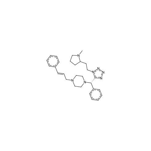 CN1CCCC1CCn1nnnc1[C@H](c1ccccc1)N1CCN(C/C=C/c2ccccc2)CC1